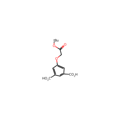 CC(C)(C)OC(=O)COc1cc(C(=O)O)cc(C(=O)O)c1